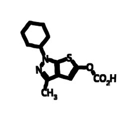 Cc1nn(C2CCCCC2)c2sc(OC(=O)O)cc12